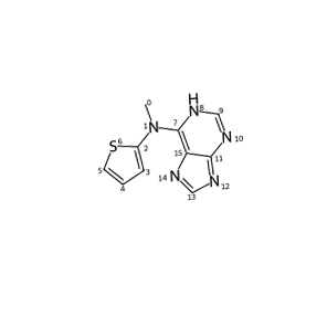 CN(c1cccs1)c1[nH]cnc2ncnc1-2